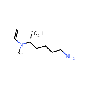 C=CN(C(C)=O)[C@@H](CCCCN)C(=O)O